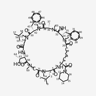 CC(C)C[C@H]1C(=O)N[C@H](C(=O)N2CCCCC2)CSCC(=O)N(C)[C@@H](Cc2ccccc2)C(=N)N(C)[C@@H](C)C(=O)N(C)[C@@H](Cc2ccccc2)C(=O)N(C)[C@@H](CC(C)C)C(=O)N[C@@H]([C@@H](C)O)C(=O)N(C)CC(=O)N1C